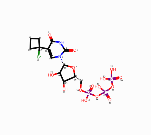 O=c1[nH]c(=O)n([C@@H]2O[C@H](COP(=O)(O)OP(=O)(O)OP(=O)(O)O)C(O)C2O)cc1C1(Br)CCC1